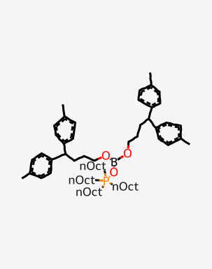 CCCCCCCCP(CCCCCCCC)(CCCCCCCC)(CCCCCCCC)OB(OCCCC(c1ccc(C)cc1)c1ccc(C)cc1)OCCCC(c1ccc(C)cc1)c1ccc(C)cc1